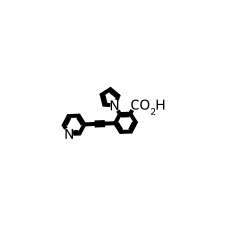 O=C(O)c1cccc(C#Cc2cccnc2)c1-n1cccc1